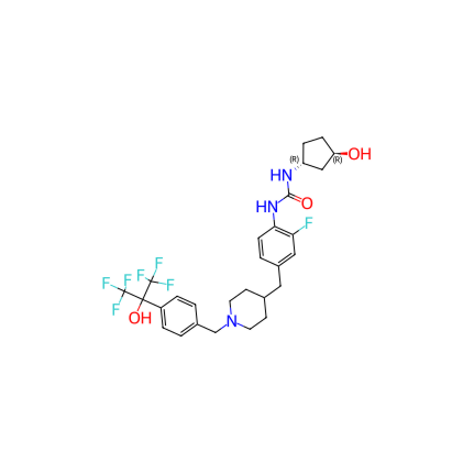 O=C(Nc1ccc(CC2CCN(Cc3ccc(C(O)(C(F)(F)F)C(F)(F)F)cc3)CC2)cc1F)N[C@@H]1CC[C@@H](O)C1